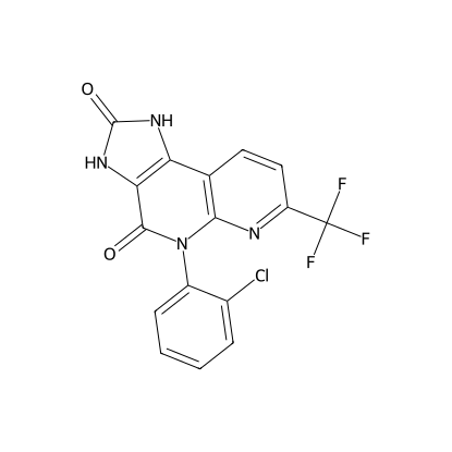 O=c1[nH]c2c(=O)n(-c3ccccc3Cl)c3nc(C(F)(F)F)ccc3c2[nH]1